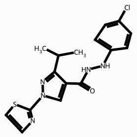 CC(C)c1nn(-c2nccs2)cc1C(=O)NNc1ccc(Cl)cc1